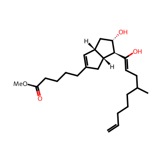 C=CCCCC(C)CC=C(O)[C@H]1[C@@H]2CC(CCCCC(=O)OC)=C[C@@H]2C[C@@H]1O